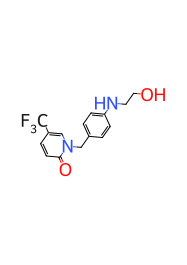 O=c1ccc(C(F)(F)F)cn1Cc1ccc(NCCO)cc1